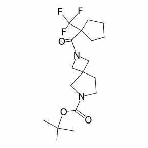 CC(C)(C)OC(=O)N1CCC2(C1)CN(C(=O)C1(C(F)(F)F)CCCC1)C2